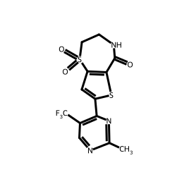 Cc1ncc(C(F)(F)F)c(-c2cc3c(s2)C(=O)NCCS3(=O)=O)n1